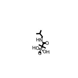 CC(C)CNC(=O)C(C)(C)P(=O)(O)O